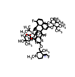 CC(C)[Si](C#Cc1c(F)ccc2cc(O[Si](C(C)C)(C(C)C)C(C)C)cc(-c3c(Cl)cc4c(N5CCC[C@@](C)(O)C5)nc(OCC5(C)CN(C)CC/C5=C\F)nc4c3F)c12)(C(C)C)C(C)C